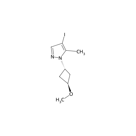 CO[C@H]1C[C@H](n2ncc(I)c2C)C1